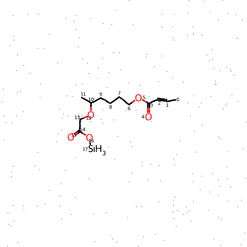 CC=CC(=O)OCCCCC(C)OCC(=O)O[SiH3]